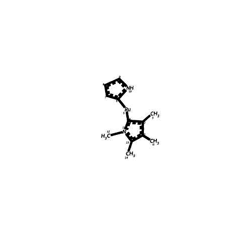 Cc1c(C)[c]([Ru][c]2ccc[nH]2)n(C)c1C